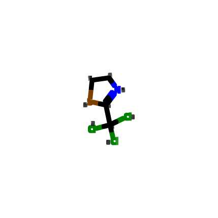 ClC(Cl)(Cl)C1=NCCS1